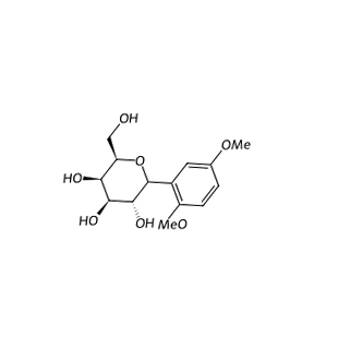 COc1ccc(OC)c(C2O[C@H](CO)[C@H](O)[C@H](O)[C@H]2O)c1